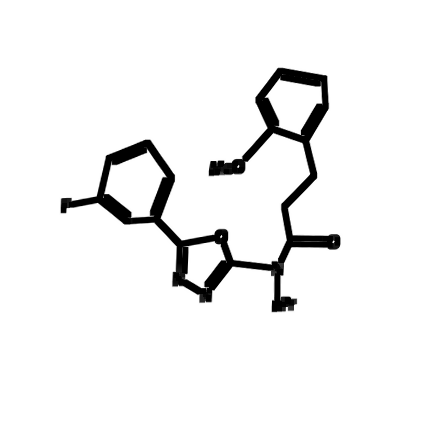 CCCN(C(=O)CCc1ccccc1OC)c1nnc(-c2cccc(F)c2)o1